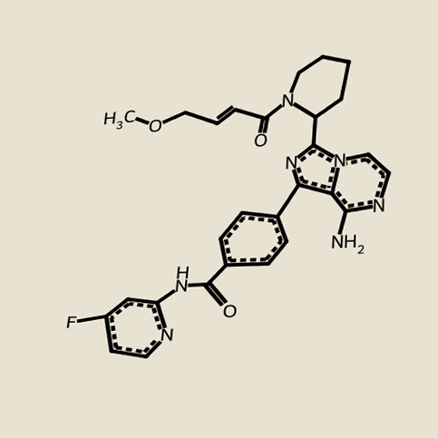 COCC=CC(=O)N1CCCCC1c1nc(-c2ccc(C(=O)Nc3cc(F)ccn3)cc2)c2c(N)nccn12